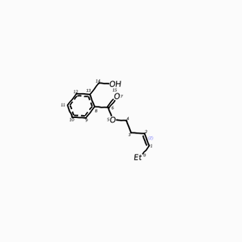 CC/C=C\CCOC(=O)c1ccccc1CO